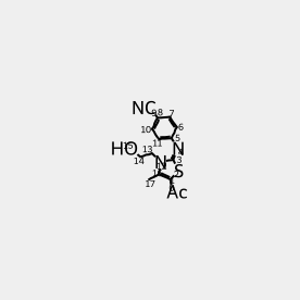 CC(=O)c1s/c(=N/c2ccc(C#N)cc2)n(CCO)c1C